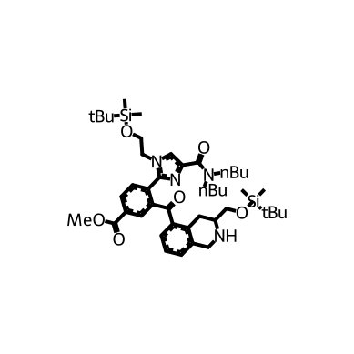 CCCCN(CCCC)C(=O)c1cn(CCO[Si](C)(C)C(C)(C)C)c(-c2ccc(C(=O)OC)cc2C(=O)c2cccc3c2CC(CO[Si](C)(C)C(C)(C)C)NC3)n1